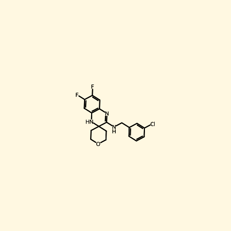 Fc1cc2c(cc1F)NC1(CCOCC1)C(NCc1cccc(Cl)c1)=N2